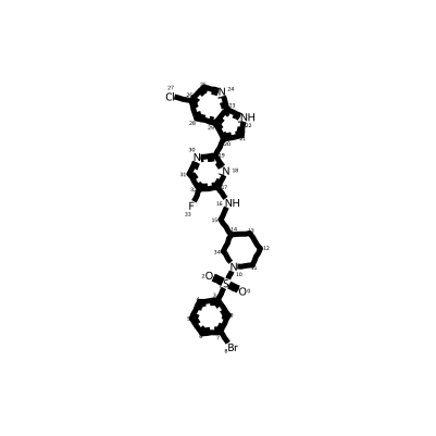 O=S(=O)(c1cccc(Br)c1)N1CCCC(CNc2nc(-c3c[nH]c4ncc(Cl)cc34)ncc2F)C1